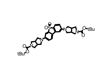 CC(C)(C)OC(=O)N1CC2CN(c3ccc4c(c3)-c3ccc(N5CC6CN(C(=O)OC(C)(C)C)CC6C5)cc3S4(=O)=O)CC2C1